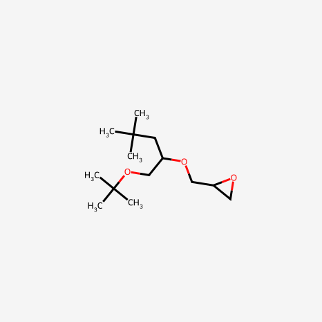 CC(C)(C)CC(COC(C)(C)C)OCC1CO1